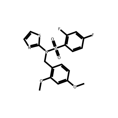 COc1ccc(CN(c2nccs2)S(=O)(=O)c2ccc(F)cc2F)c(OC)c1